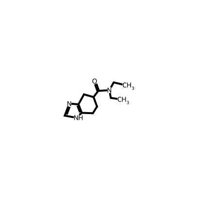 CCN(CC)C(=O)C1CCc2[nH]cnc2C1